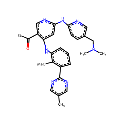 CCC(=O)c1cnc(Nc2ccc(CN(C)C)cn2)cc1Nc1cccc(-c2ncc(C)cn2)c1OC